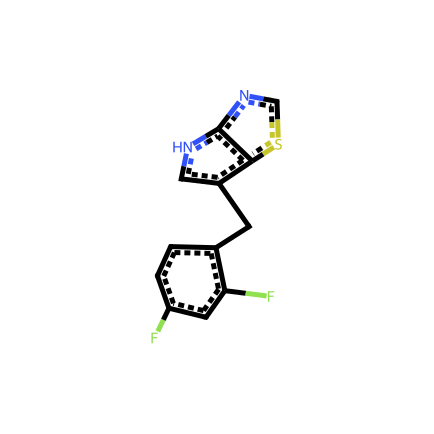 Fc1ccc(Cc2c[nH]c3ncsc23)c(F)c1